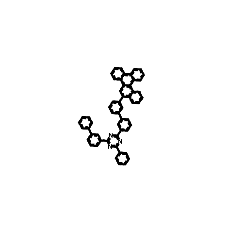 c1ccc(-c2cccc(-c3nc(-c4ccccc4)nc(-c4cccc(-c5cccc(-c6cc7c8ccccc8c8ccccc8c7c7ccccc67)c5)c4)n3)c2)cc1